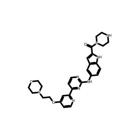 O=C(c1cc2cc(Nc3nccc(-c4cc(OCCN5CCOCC5)ccn4)n3)ccc2[nH]1)N1CCNCC1